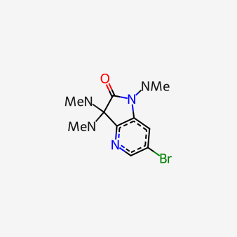 CNN1C(=O)C(NC)(NC)c2ncc(Br)cc21